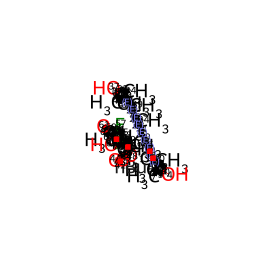 CC1=C[C@H](O)CC(C)(C)[C@H]1/C=C/C(C)=C/C=C/C(C)=C/C=C/C=C(C)/C=C/C=C(C)/C=C/C1=C(C)C[C@@H](O)CC1(C)C.CCCCC(=O)OCC(=O)[C@H]1[C@H](C)C[C@H]2[C@@H]3C[C@H](F)C4=CC(=O)C=C[C@]4(C)[C@@]3(F)[C@@H](O)C[C@@]21C